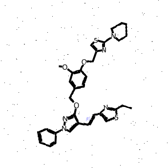 CCc1nc(/C=C/c2cn(-c3ccccc3)nc2OCc2ccc(OCc3csc(N4CCCCC4)n3)c(OC)c2)cs1